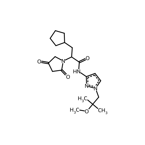 COC(C)(C)Cn1ccc(NC(=O)C(CC2CCCC2)N2CC(=O)CC2=O)n1